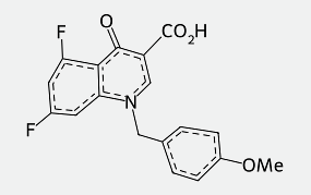 COc1ccc(Cn2cc(C(=O)O)c(=O)c3c(F)cc(F)cc32)cc1